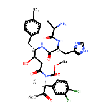 CC[C@H](C)[C@](C(=O)OC)(c1ccc(Cl)c(Cl)c1)N(C(=O)CC(O)[C@H](Cc1ccc([N+](=O)[O-])cc1)NC(=O)[C@H](Cc1c[nH]cn1)NC(=O)C(C)N)C(=O)OC(C)(C)C